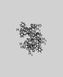 CC[C@H](C)[C@H](NC(=O)[C@H](Cc1ccccc1)N(C)C(=O)[C@H](C)N(C)C(=O)[C@@H](NC(=O)[C@H](CC(C)C)NC)[C@@H](C)O)C(=O)N(C)C(=O)N(C)[C@@H](CC(C)C)C(=O)N(C)C(C(=O)N[C@@H](CC(=O)N(C)[C@@H](C)C=O)C(=O)N(C)[C@@H](Cc1ccccc1)C(=O)N[C@@H](C)C(=O)N1CCCCC1)C(C)C